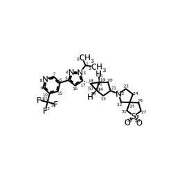 CC(C)n1nc(-c2cncc(C(F)(F)F)c2)cc1[C@@H]1[C@@H]2CC(N3CCC4(CCS(=O)(=O)C4)C3)C[C@@H]21